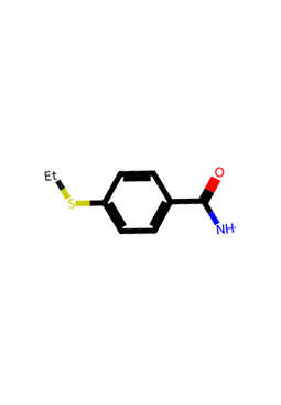 CCSc1ccc(C([NH])=O)cc1